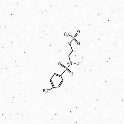 CS(=O)(=O)OCC[NH+]([O-])S(=O)(=O)c1ccc(C(F)(F)F)cc1